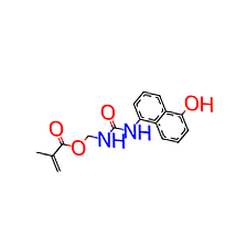 C=C(C)C(=O)OCNC(=O)Nc1cccc2c(O)cccc12